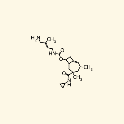 C/C(=C\CNC(=O)OC1CC2=CC(C)CC(C)(C(=O)NC3CC3)CC21)CN